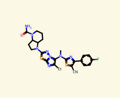 CCc1nc2sc(N3CCC4C3CCCN4C(N)=O)nn2c1N(C)c1nc(-c2ccc(F)cc2)c(C#N)s1